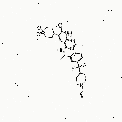 C=CCN1CCC(C(F)(F)c2cccc(C(C)Nc3nc(C)nc4[nH]c(=O)c(C5CCS(=O)(=O)CC5)cc34)c2)CC1